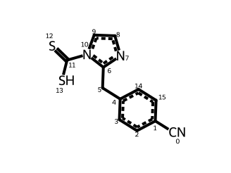 N#Cc1ccc(Cc2nccn2C(=S)S)cc1